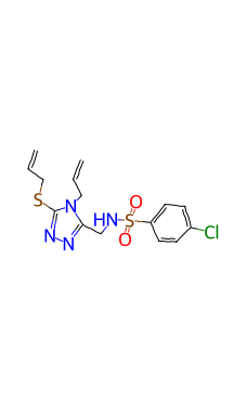 C=CCSc1nnc(CNS(=O)(=O)c2ccc(Cl)cc2)n1CC=C